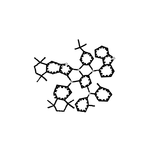 Cc1ccccc1N(c1cc2c3c(c1)N(c1cccc4oc5ccccc5c14)c1ccc(C(C)(C)C)cc1B3c1oc3cc4c(cc3c1N2c1ccc2c(c1)C(C)(C)CCC2(C)C)C(C)(C)CCC4(C)C)c1ccccc1C